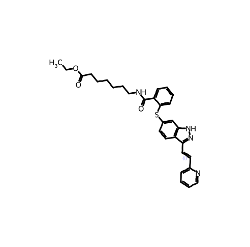 CCOC(=O)CCCCCCNC(=O)c1ccccc1Sc1ccc2c(/C=C/c3ccccn3)n[nH]c2c1